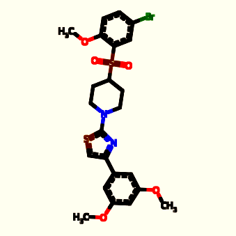 COc1cc(OC)cc(-c2csc(N3CCC(S(=O)(=O)c4cc(Br)ccc4OC)CC3)n2)c1